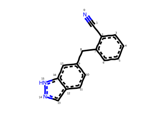 N#Cc1ccccc1[CH]c1ccc2cn[nH]c2c1